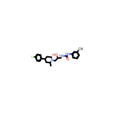 CC1CC(c2ccc(F)cc2)CCN1CC(O)CNC(=O)Nc1cccc(C#N)c1